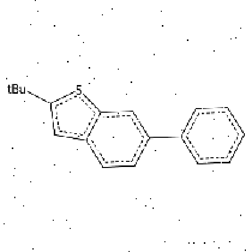 CC(C)(C)c1cc2ccc(-c3ccccc3)cc2s1